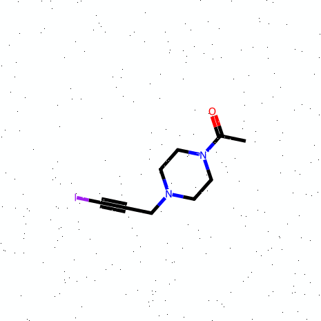 CC(=O)N1CCN(CC#CI)CC1